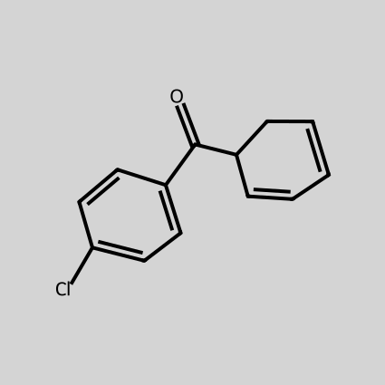 O=C(c1ccc(Cl)cc1)C1C=CC=CC1